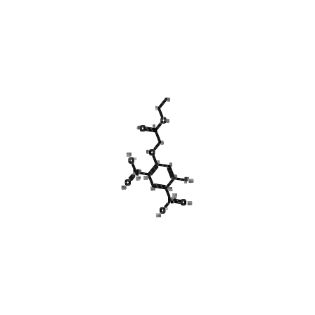 CCOC(=O)COc1cc(F)c([N+](=O)[O-])cc1[N+](=O)[O-]